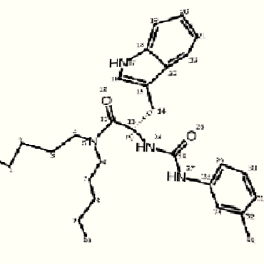 CCCCCN(CCCCC)C(=O)[C@H](Cc1c[nH]c2ccccc12)NC(=O)Nc1cccc(C)c1